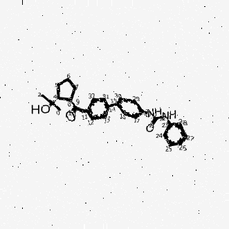 CC(C)(O)[C@@H]1CCC[C@H]1C(=O)c1ccc(-c2ccc(NC(=O)Nc3ccccc3)cc2)cc1